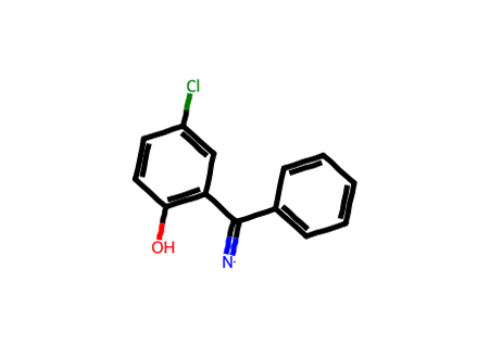 [N]=C(c1ccccc1)c1cc(Cl)ccc1O